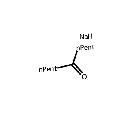 CCCCCC(=O)CCCCC.[NaH]